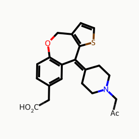 CC(=O)CN1CCC(=C2c3cc(CC(=O)O)ccc3OCc3ccsc32)CC1